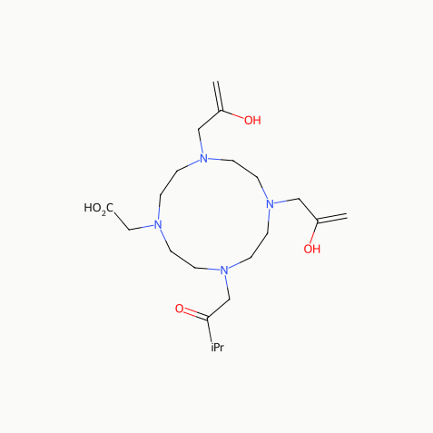 C=C(O)CN1CCN(CC(=C)O)CCN(CC(=O)C(C)C)CCN(CC(=O)O)CC1